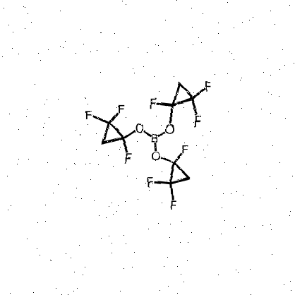 FC1(F)CC1(F)OB(OC1(F)CC1(F)F)OC1(F)CC1(F)F